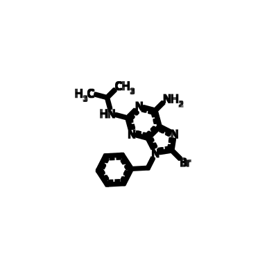 CC(C)Nc1nc(N)c2nc(Br)n(Cc3ccccc3)c2n1